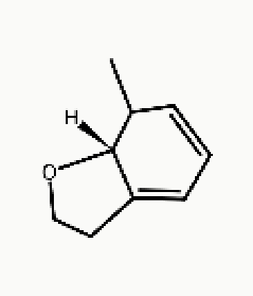 CC1C=CC=C2CCO[C@@H]21